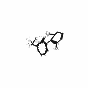 CC1CC=CC(Cl)=C1c1ccccc(C(C)(C)C)c1=O